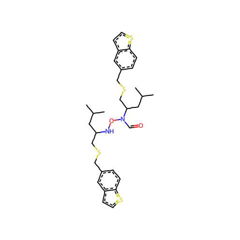 CC(C)CC(CSCc1ccc2sccc2c1)NON(C=O)C(CSCc1ccc2sccc2c1)CC(C)C